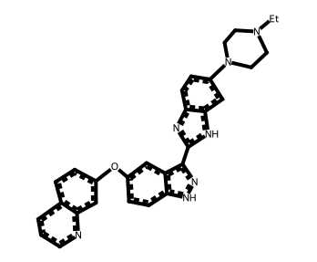 CCN1CCN(c2ccc3nc(-c4n[nH]c5ccc(Oc6ccc7cccnc7c6)cc45)[nH]c3c2)CC1